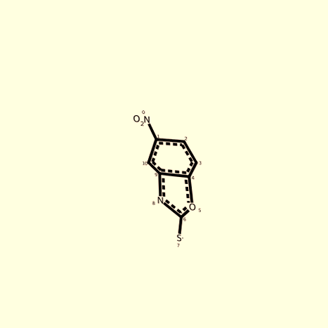 O=[N+]([O-])c1ccc2oc([S])nc2c1